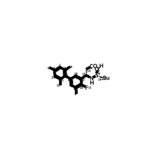 Cc1cc(C)c(-c2cc(C)c(F)c([C@H](CC(=O)O)N[S@+]([O-])C(C)(C)C)c2)c(C)c1